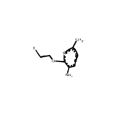 Cc1ccc(N)c(OCCF)n1